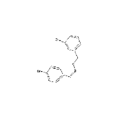 Clc1cccc(CO/N=[C]\c2ccc(Br)cc2)c1